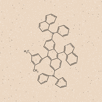 Cc1cc(C)cc(-c2c3cc(N(c4ccccc4)c4ccccc4)ccc3c(-c3cccc4ccccc34)c3cc(N(c4ccccc4)c4cccc5ccccc45)ccc23)c1